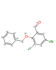 O=Cc1cc(Br)cc(F)c1OCc1ccccc1